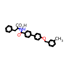 Cc1cccc(COc2ccc(-c3ccc(C(=O)NC(Cc4ccccc4)C(=O)O)cc3)cc2)c1